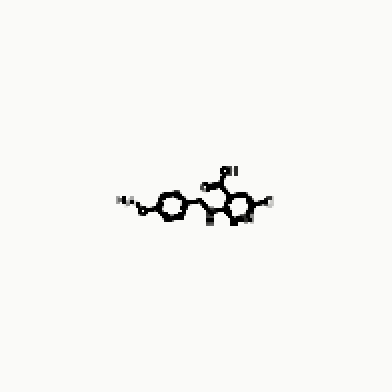 COc1ccc(CNc2nnc(Cl)cc2C(=O)O)cc1